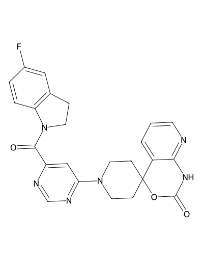 O=C1Nc2ncccc2C2(CCN(c3cc(C(=O)N4CCc5cc(F)ccc54)ncn3)CC2)O1